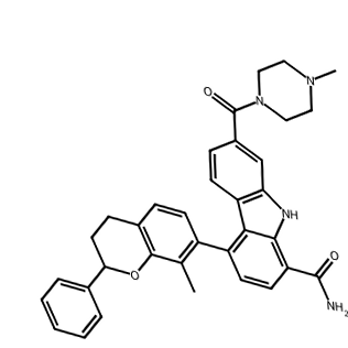 Cc1c(-c2ccc(C(N)=O)c3[nH]c4cc(C(=O)N5CCN(C)CC5)ccc4c23)ccc2c1OC(c1ccccc1)CC2